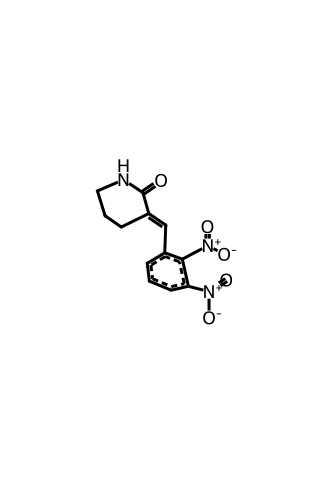 O=C1NCCC/C1=C\c1cccc([N+](=O)[O-])c1[N+](=O)[O-]